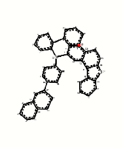 c1ccc(-c2ccccc2N(c2ccc(-c3ccc4ccccc4c3)cc2)c2ccc3ccc4sc5ccccc5c4c3c2)cc1